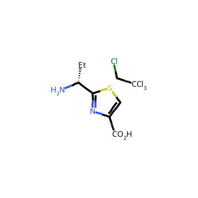 CC[C@@H](N)c1nc(C(=O)O)cs1.ClCC(Cl)(Cl)Cl